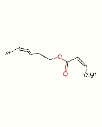 CC/C=C/CCOC(=O)/C=C\C(=O)O